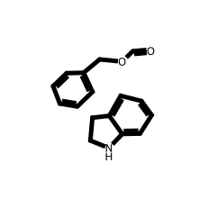 O=COCc1ccccc1.c1ccc2c(c1)CCN2